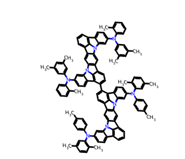 Cc1ccc(N(c2ccc3c4cccc5c6cc7c(cc6n(c3c2)c45)c2ccc(-c3ccc4c5cc6c(cc5n5c8cc(N(c9cc(C)cc(C)c9)c9ccccc9C)ccc8c3c45)c3cccc4c5ccc(N(c8cc(C)cc(C)c8)c8ccccc8C)cc5n6c43)c3c4ccc(N(c5ccc(C)cc5)c5cc(C)ccc5C)cc4n7c23)c2cc(C)ccc2C)cc1